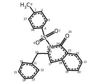 Cc1ccc(S(=O)(=O)n2c(Cc3ccccc3)cc3ccccc3c2=O)cc1